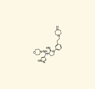 N=C1/C(=C(\NN2CCOCC2)c2cn[nH]c2)CCN1c1cccc(CCN2CCNCC2)c1